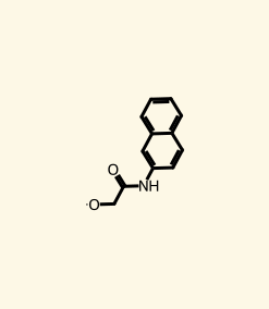 [O]CC(=O)Nc1ccc2ccccc2c1